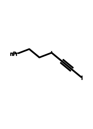 CCCCC[CH]C#CI